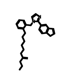 C=C(CCC)CCCCCCc1ccccc1Cn1ccnc1-c1ccc2c(c1)C=CC2